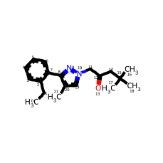 CCc1ccccc1-c1nn(CC(=O)CC(C)(C)C)cc1C